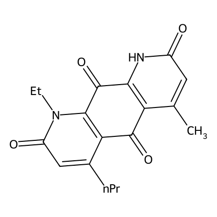 CCCc1cc(=O)n(CC)c2c1C(=O)c1c(C)cc(=O)[nH]c1C2=O